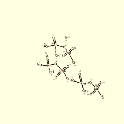 O=P(O)(O)[O][Mo](=[O])(=[O])[O-].O=P(O)(O)[O][Mo](=[O])(=[O])[O-].O=P(O)(O)[O][Mo](=[O])(=[O])[O-].[Bi+3]